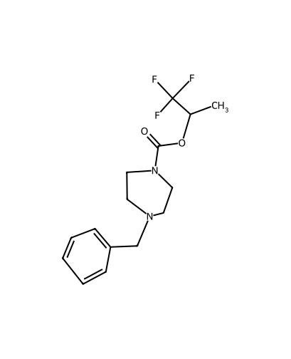 CC(OC(=O)N1CCN(Cc2ccccc2)CC1)C(F)(F)F